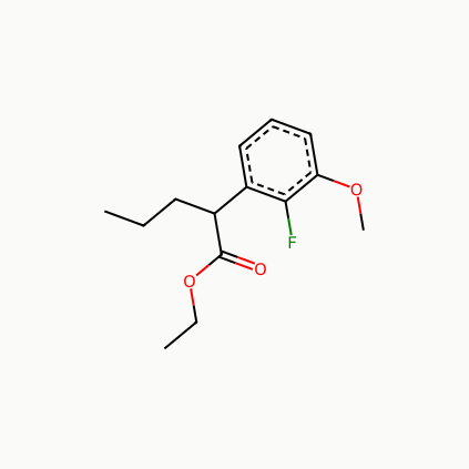 CCCC(C(=O)OCC)c1cccc(OC)c1F